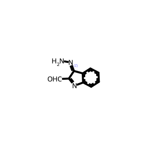 N/N=C1\C(C=O)=Nc2ccccc21